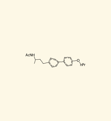 CCCOc1ccc(-c2ccc(CCC(C)NC(C)=O)cc2)cc1